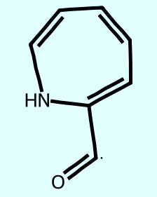 O=[C]C1=CC=CC=CN1